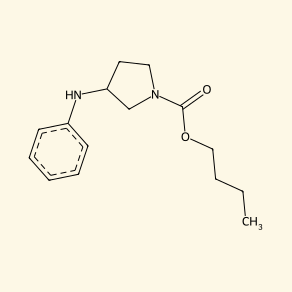 CCCCOC(=O)N1CCC(Nc2ccccc2)C1